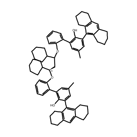 Cc1cc(-c2ccccc2OC(C[C@@H](Oc2ccccc2-c2cc(C)cc(-c3c4c(cc5c3CCCC5)CCCC4)c2O)C2CCCCC2)C2CCCCC2)c(O)c(-c2c3c(cc4c2CCCC4)CCCC3)c1